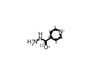 NNC(=[17O])c1ccncc1